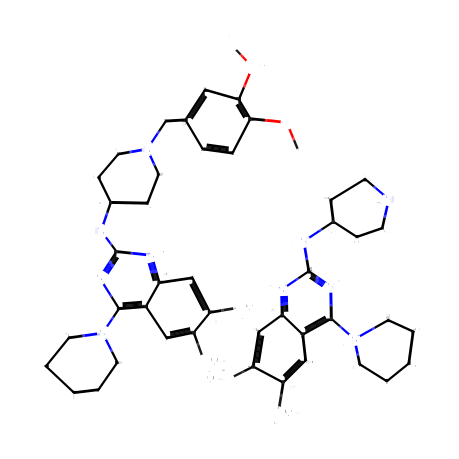 CCOc1ccc(CN2CCC(Nc3nc(N4CCCCC4)c4cc(OC)c(OC)cc4n3)CC2)cc1OCC.COc1cc2nc(NC3CCNCC3)nc(N3CCCCC3)c2cc1OC